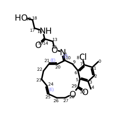 Cc1cc(C)c2c(c1Cl)CC(=N/OCC(=O)NCCO)/C=C/CC/C=C/CCOC2=O